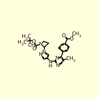 COC(=O)c1ccc(-c2nc(Nc3cnn(C4CCN4C(=O)OC(C)(C)C)c3)ncc2C)cc1